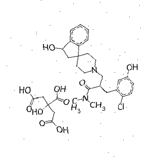 CN(C)C(=O)C(Cc1cc(O)ccc1Cl)CN1CCC2(CC1)CC(O)c1ccccc12.O=C(O)CC(O)(CC(=O)O)C(=O)O